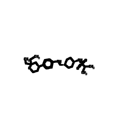 CCC1(CC)CN(c2ccc(NC[C@H]3CC[C@H](NS(=O)(=O)C(C)C)CC3)cc2)CCO1